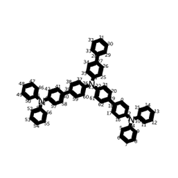 C1=CC(N(c2ccccc2)c2ccccc2)CC=C1c1ccc(N(c2ccc(-c3ccccc3)cc2)c2ccc(-c3ccc(N(c4ccccc4)c4ccccc4)cc3)cc2)cc1